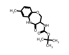 Cc1ccc2c(c1)NC(=O)C(NC(=O)OC(C)(C)C)CO2